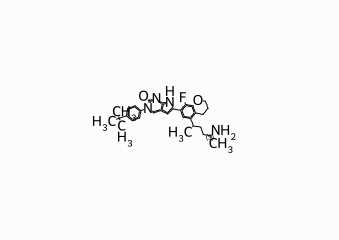 CC(CC[C@H](C)N)c1cc(-c2cc3cn(-c4ccc(C(C)(C)C)cc4)c(=O)nc3[nH]2)c(F)c2c1CCCO2